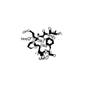 CC[C@H](C)[C@@]([C@@H](CC=O)OC)(N(C)[C@H](C(=O)NC(=O)[C@@](C)(N)CC)C(C)C)N1CCC[C@H]1[C@H](OC)[C@@H](C)C(=O)N[C@@H](Cc1ccccc1)C(=O)OC